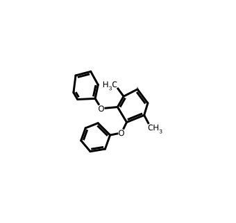 Cc1[c]cc(C)c(Oc2ccccc2)c1Oc1ccccc1